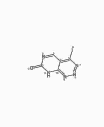 O=c1ncc2c(I)nnnc2[nH]1